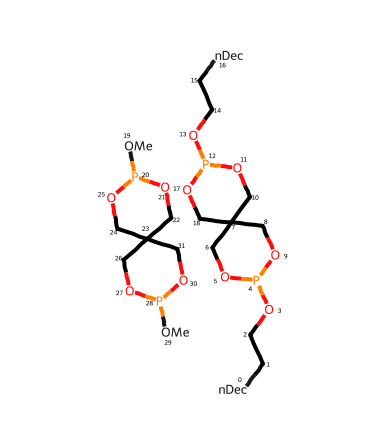 CCCCCCCCCCCCOP1OCC2(CO1)COP(OCCCCCCCCCCCC)OC2.COP1OCC2(CO1)COP(OC)OC2